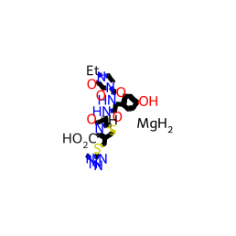 CCN1CCN(C(=O)NC(C(=O)N[C@@H]2C(=O)N3C(C(=O)O)=C(CSc4nnnn4C)CS[C@H]23)c2ccc(O)cc2)C(=O)C1=O.[MgH2]